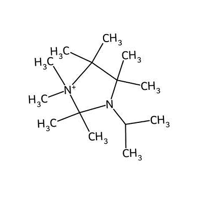 CC(C)N1C(C)(C)C(C)(C)[N+](C)(C)C1(C)C